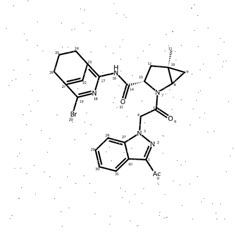 CC(=O)c1nn(CC(=O)N2C3C[C@]3(C)C[C@H]2C(=O)Nc2nc(Br)c3cc2CCC3)c2ccccc12